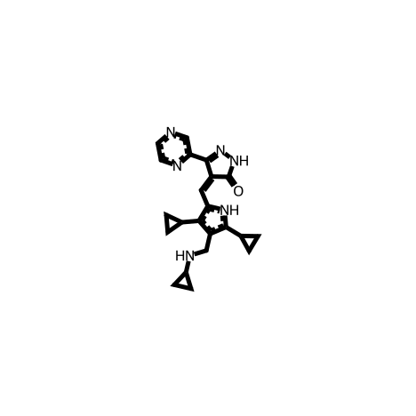 O=C1NN=C(c2cnccn2)C1=Cc1[nH]c(C2CC2)c(CNC2CC2)c1C1CC1